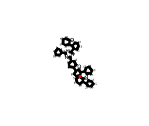 c1ccc(-c2nc(-c3ccc4c(c3)oc3c(-c5ccccc5-n5c6ccccc6c6ccccc65)cccc34)nc(-c3cccc4oc5ccccc5c34)n2)cc1